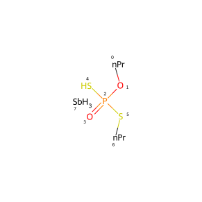 CCCOP(=O)(S)SCCC.[SbH3]